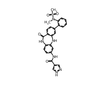 CN(c1ccccc1-c1ccc2c(c1)Nc1cc(NC(=O)c3cn[nH]c3)ccc1NC2=O)S(C)(=O)=O